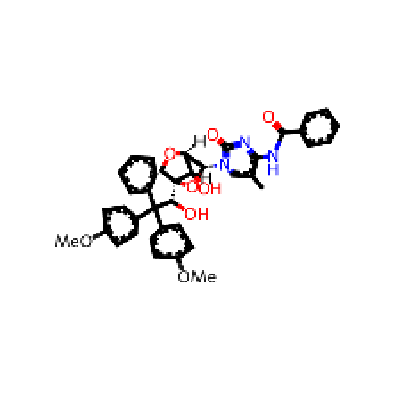 COc1ccc(C(c2ccccc2)(c2ccc(OC)cc2)C(O)[C@@]23CO[C@@H]([C@H](n4cc(C)c(NC(=O)c5ccccc5)nc4=O)O2)[C@@H]3O)cc1